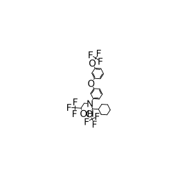 OC(CN(c1cccc(Oc2cccc(OC(F)(F)F)c2)c1)C(OC(F)(F)F)C1CCCCC1)C(F)(F)F